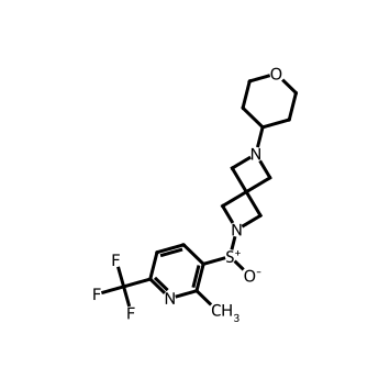 Cc1nc(C(F)(F)F)ccc1[S+]([O-])N1CC2(CN(C3CCOCC3)C2)C1